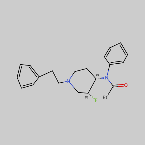 CCC(=O)N(c1ccccc1)[C@H]1CCN(CCc2ccccc2)C[C@H]1F